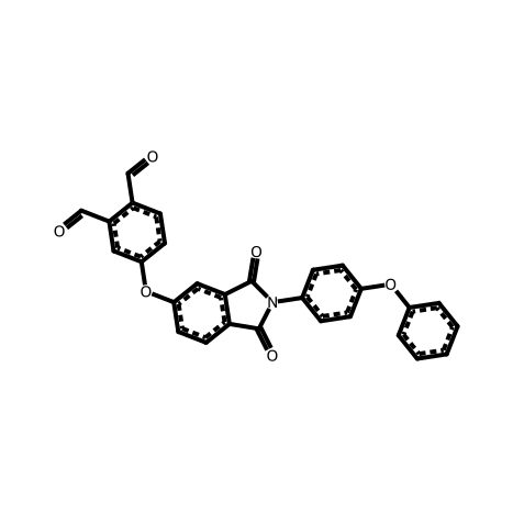 O=Cc1ccc(Oc2ccc3c(c2)C(=O)N(c2ccc(Oc4ccccc4)cc2)C3=O)cc1C=O